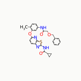 Cc1ccc(NC(=O)COCc2ccccc2)cc1Oc1ccc2nc(NC(=O)C3CC3)sc2n1